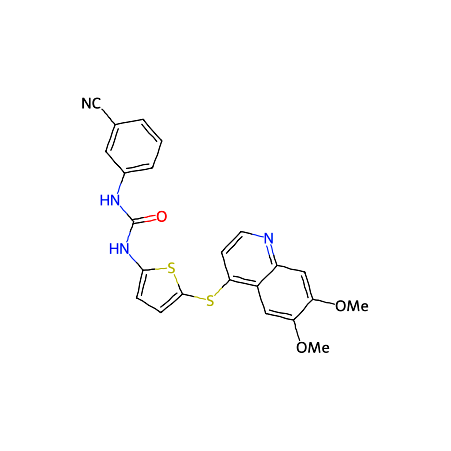 COc1cc2nccc(Sc3ccc(NC(=O)Nc4cccc(C#N)c4)s3)c2cc1OC